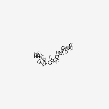 COC(=O)N[C@H](C(=O)N1CCC[C@H]1c1ncc(-c2ccc3c(c2)OC(C)n2c-3c(F)c3cc(-c4cnc([C@@H]5CCCN5C(=O)[C@@H](NC(=O)OC)C(C)C)[nH]4)ccc32)[nH]1)C(C)C